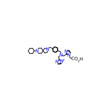 Cn1ccnc1CN(Cc1ccc(CN2CCC3(CCN(C4CCCCC4)CC3)C2)cc1)Cc1nccn1CC(=O)O